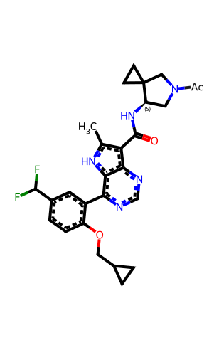 CC(=O)N1C[C@@H](NC(=O)c2c(C)[nH]c3c(-c4cc(C(F)F)ccc4OCC4CC4)ncnc23)C2(CC2)C1